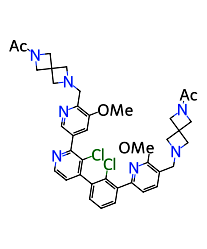 COc1cc(-c2nccc(-c3cccc(-c4ccc(CN5CC6(C5)CN(C(C)=O)C6)c(OC)n4)c3Cl)c2Cl)cnc1CN1CC2(C1)CN(C(C)=O)C2